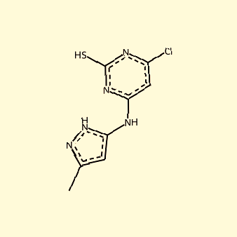 Cc1cc(Nc2cc(Cl)nc(S)n2)[nH]n1